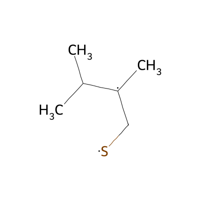 C[C](C[S])C(C)C